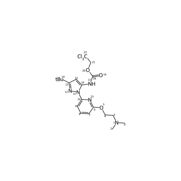 CN(C)CCOc1cccc(-n2nc(C(C)(C)C)cc2NC(=O)OCC(Cl)(Cl)Cl)n1